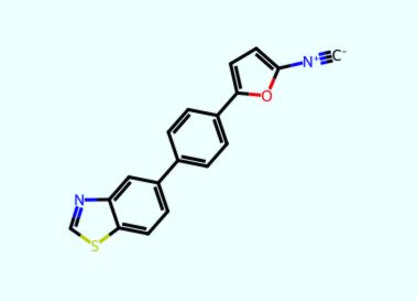 [C-]#[N+]c1ccc(-c2ccc(-c3ccc4scnc4c3)cc2)o1